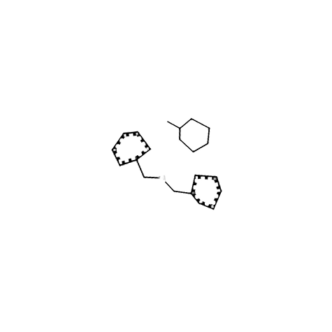 OC1CCCCC1.c1ccc(CNCc2ccccc2)cc1